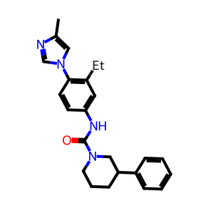 CCc1cc(NC(=O)N2CCCC(c3ccccc3)C2)ccc1-n1cnc(C)c1